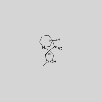 COC[C@]1(CO)C(=O)[C@H]2CCCN1C2